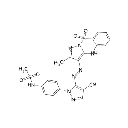 Cc1nn2c(c1/N=N/c1c(C#N)cnn1-c1ccc(NS(C)(=O)=O)cc1)Nc1ccccc1S2(=O)=O